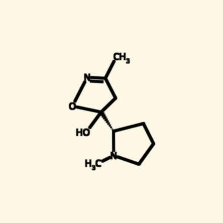 CC1=NOC(O)([C@@H]2CCCN2C)C1